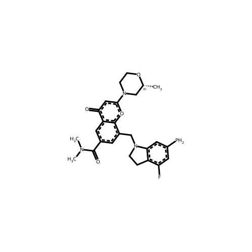 C[C@@H]1CN(c2cc(=O)c3cc(C(=O)N(C)C)cc(CN4CCc5c(F)cc(P)cc54)c3o2)CCO1